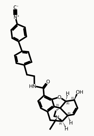 [C-]#[N+]c1ccc(-c2ccc(CCNC(=O)c3ccc4c5c3O[C@H]3[C@@H](O)C=C[C@H]6[C@@H](C4)N(C)CC[C@@]563)cc2)cc1